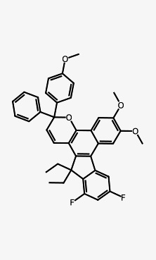 CCC1(CC)c2c(F)cc(F)cc2-c2c1c1c(c3cc(OC)c(OC)cc23)OC(c2ccccc2)(c2ccc(OC)cc2)C=C1